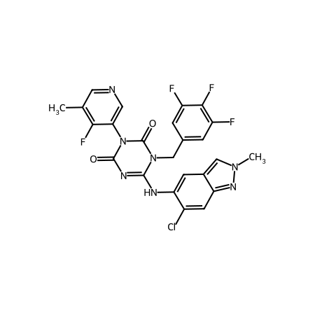 Cc1cncc(-n2c(=O)nc(Nc3cc4cn(C)nc4cc3Cl)n(Cc3cc(F)c(F)c(F)c3)c2=O)c1F